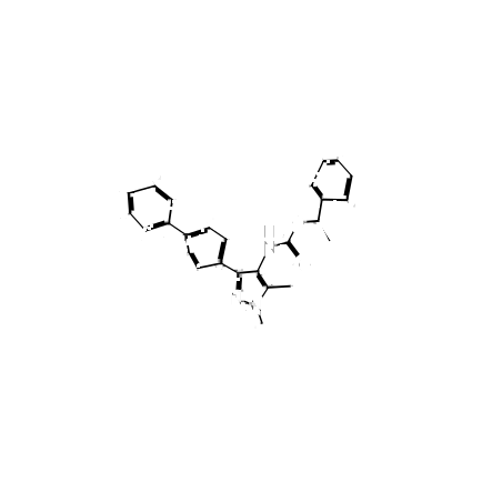 Cc1c(NC(=O)O[C@H](C)c2ccccc2)c(-c2ccc(-c3cc[c]cc3)cc2)nn1C